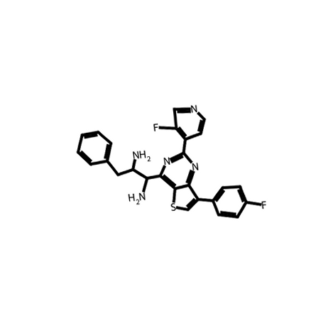 NC(Cc1ccccc1)C(N)c1nc(-c2ccncc2F)nc2c(-c3ccc(F)cc3)csc12